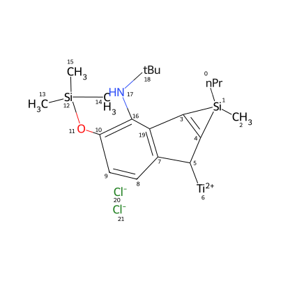 CCC[Si]1(C)C2=C1[CH]([Ti+2])c1ccc(O[Si](C)(C)C)c(NC(C)(C)C)c12.[Cl-].[Cl-]